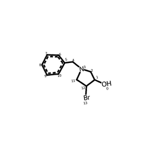 OC1CN(Cc2ccccc2)CC1Br